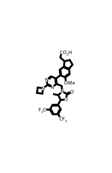 COc1cc2c(cc1-c1cnc(N3CCC3)nc1CN1C(=O)OC(c3cc(C(F)(F)F)cc(C(F)(F)F)c3)C1C)C(CC(=O)O)CC2